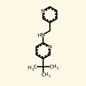 CC(C)(C)c1ccc(NCc2cccnc2)nc1